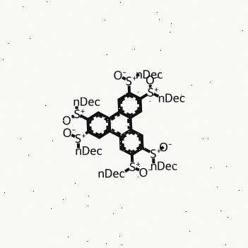 CCCCCCCCCC[S+]([O-])c1cc2c3cc([S+]([O-])CCCCCCCCCC)c([S+]([O-])CCCCCCCCCC)cc3c3cc([S+]([O-])CCCCCCCCCC)c([S+]([O-])CCCCCCCCCC)cc3c2cc1[S+]([O-])CCCCCCCCCC